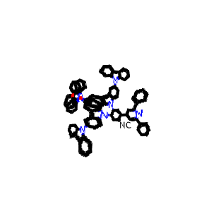 [C-]#[N+]c1cc(-n2c3ccc(-n4c5ccccc5c5ccccc54)cc3c3cc(-n4c5ccccc5c5ccccc54)ccc32)c(-n2c3ccc(-n4c5ccccc5c5ccccc54)cc3c3cc(-n4c5ccccc5c5ccccc54)ccc32)cc1-c1cc(-c2ccccc2)nc(-c2ccccc2)c1